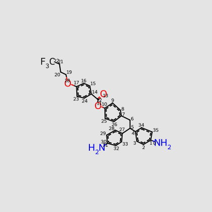 Nc1ccc(C(Cc2ccc(OC(=O)c3ccc(OCCCC(F)(F)F)cc3)cc2)c2ccc(N)cc2)cc1